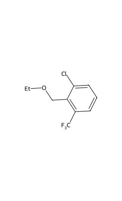 CCOCc1c(Cl)cccc1C(F)(F)F